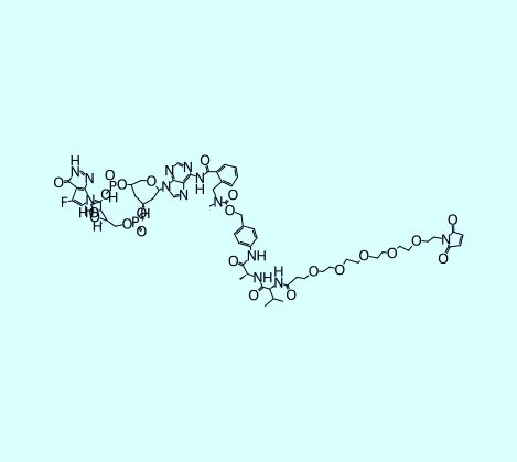 CC(C)[C@H](NC(=O)CCOCCOCCOCCOCCOCCN1C(=O)C=CC1=O)C(=O)N[C@@H](C)C(=O)Nc1ccc(COC(=O)N(C)Cc2ccccc2C(=O)Nc2ncnc3c2ncn3[C@H]2C[C@H]3CC(CO2)O[PH](=O)O[C@@]2(n4cc(F)c5c(=O)[nH]cnc54)CO[C@H](CO[P+](=O)O3)[C@H]2O)cc1